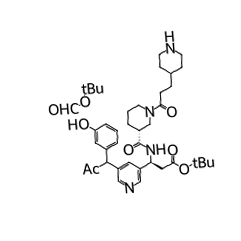 CC(=O)C(c1cccc(O)c1)c1cncc([C@H](CC(=O)OC(C)(C)C)NC(=O)[C@@H]2CCCN(C(=O)CCC3CCNCC3)C2)c1.CC(C)(C)OC=O